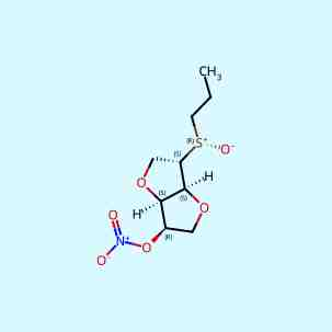 CCC[S@+]([O-])[C@H]1CO[C@H]2[C@@H]1OC[C@H]2O[N+](=O)[O-]